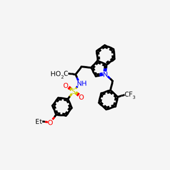 CCOc1ccc(S(=O)(=O)NC(Cc2cn(Cc3ccccc3C(F)(F)F)c3ccccc23)C(=O)O)cc1